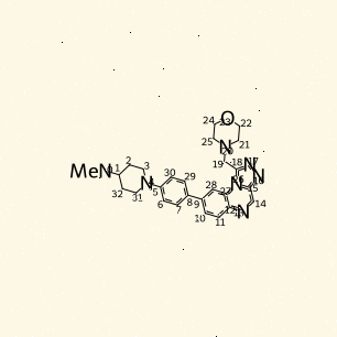 CNC1CCN(c2ccc(-c3ccc4ncc5nnc(CN6CCOCC6)n5c4c3)cc2)CC1